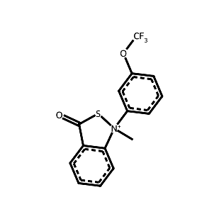 C[N+]1(c2cccc(OC(F)(F)F)c2)SC(=O)c2ccccc21